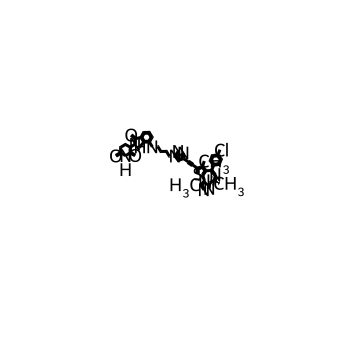 Cc1c(C#Cc2cn(CCCCNc3cccc4c3CN(C3CCC(=O)NC3=O)C4=O)nn2)sc2c1C(c1ccc(Cl)cc1)=N[C@@H](C)c1nnc(C)n1-2